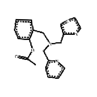 CC(=O)Oc1ccccc1CN(Cc1ccccn1)Cc1ccccn1